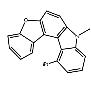 CC(C)c1cccc2c1c1c3c(ccc1n2C)oc1ccccc13